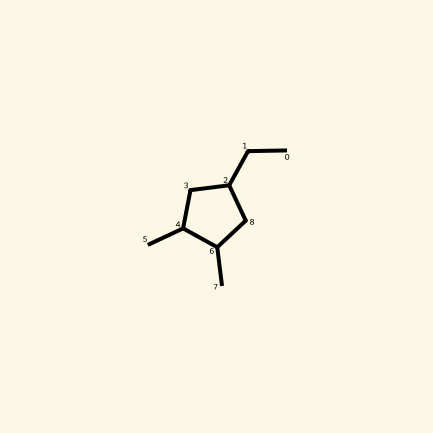 CCC1CC(C)C(C)C1